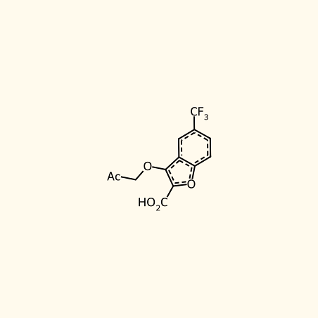 CC(=O)COc1c(C(=O)O)oc2ccc(C(F)(F)F)cc12